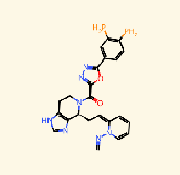 C=NN1C=CC=C/C1=C/C[C@H]1c2nc[nH]c2CCN1C(=O)c1nnc(-c2ccc(P)c(P)c2)o1